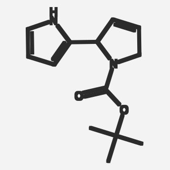 CC(C)(C)OC(=O)N1CC=CC1c1ccc[nH]1